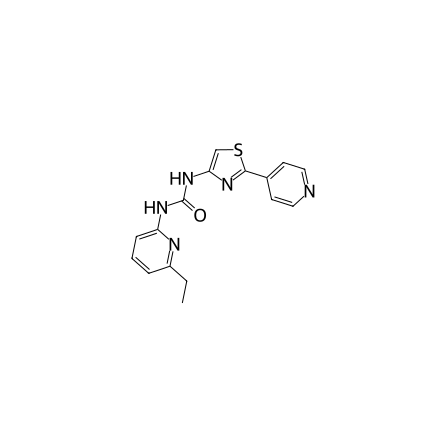 CCc1cccc(NC(=O)Nc2csc(-c3ccncc3)n2)n1